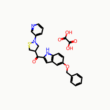 O=C(O)C(=O)O.O=C(c1cc2cc(OCc3ccccc3)ccc2[nH]1)C1CSN(c2cccnc2)C1